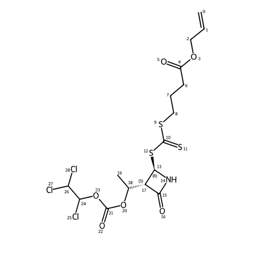 C=CCOC(=O)CCCSC(=S)S[C@H]1NC(=O)[C@@H]1C(C)OC(=O)OC(Cl)C(Cl)Cl